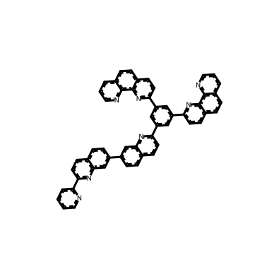 c1ccc(-c2ccc3ccc(-c4ccc5ccc(-c6cc(-c7ccc8ccc9cccnc9c8n7)cc(-c7ccc8ccc9cccnc9c8n7)c6)nc5c4)cc3n2)nc1